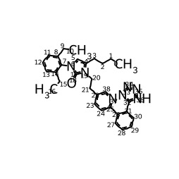 CCCCc1cn(-c2c(CC)cccc2CC)c(=O)n1CCc1ccc(-c2ccccc2-c2nnn[nH]2)nc1